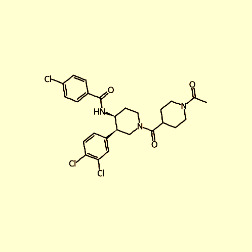 CC(=O)N1CCC(C(=O)N2CC[C@H](NC(=O)c3ccc(Cl)cc3)[C@H](c3ccc(Cl)c(Cl)c3)C2)CC1